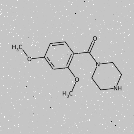 COc1ccc(C(=O)N2CCNCC2)c(OC)c1